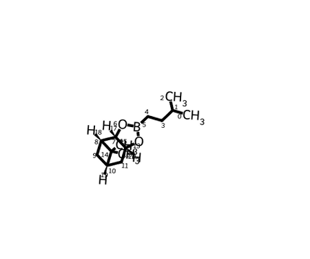 CC(C)CCB1O[C@H]2[C@H]3C[C@@H](C[C@H]2O1)C3(C)C